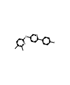 Cc1ccc(Oc2ccc(-c3ccc(F)cc3)nc2)nc1C